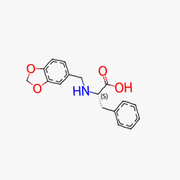 O=C(O)[C@H](Cc1ccccc1)NCc1ccc2c(c1)OCO2